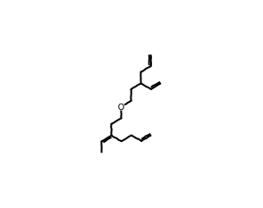 C=CCC/C(=C\C)CCOCCC(C=C)CC=C